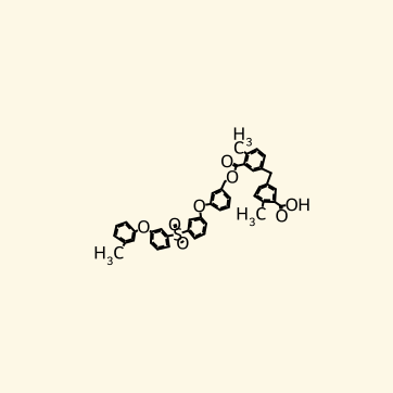 Cc1cccc(Oc2cccc(S(=O)(=O)c3cccc(Oc4cccc(COC(=O)c5cc(Cc6ccc(C)c(C(=O)O)c6)ccc5C)c4)c3)c2)c1